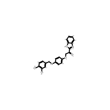 O=C(COc1ccc(SCc2ccc(Cl)c(Cl)c2)cc1)c1nc2ccccc2o1